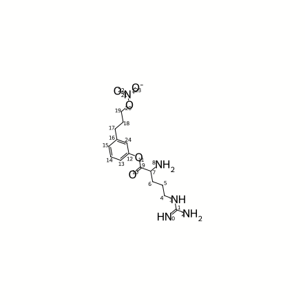 N=C(N)NCCCC(N)C(=O)Oc1cccc(CCCO[N+](=O)[O-])c1